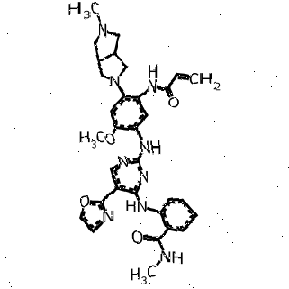 C=CC(=O)Nc1cc(Nc2ncc(-c3ncco3)c(Nc3ccccc3C(=O)NC)n2)c(OC)cc1N1CC2CN(C)CC2C1